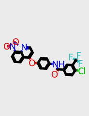 O=C(Nc1ccc(Oc2ccnc3c([N+](=O)[O-])cccc23)cc1)c1ccc(Cl)c(C(F)(F)F)c1